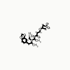 CCN(C(C)Cc1ccc2c(c1)OCO2)C(C)NC(=O)CCOC1CS(=O)(=O)C1